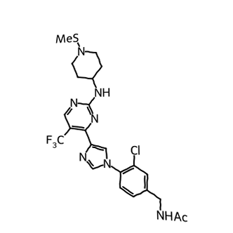 CSN1CCC(Nc2ncc(C(F)(F)F)c(-c3cn(-c4ccc(CNC(C)=O)cc4Cl)cn3)n2)CC1